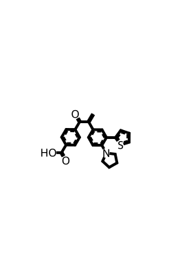 C=C(C(=O)c1ccc(C(=O)O)cc1)c1ccc(N2CCCC2)c(-c2cccs2)c1